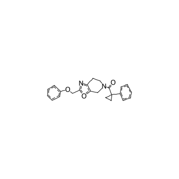 O=C(N1CCc2nc(COc3ccccc3)oc2C1)C1(c2ccccc2)CC1